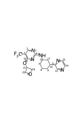 FC(F)(F)c1cnc(NC2CCCC(c3cnccn3)C2)nc1OC1COC1